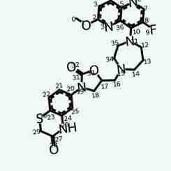 COc1ccc2ncc(F)c(N3CCCN(CC4CN(c5ccc6c(c5)NC(=O)CS6)C(=O)O4)CC3)c2n1